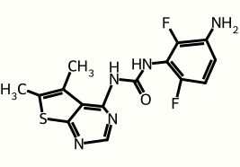 Cc1sc2ncnc(NC(=O)Nc3c(F)ccc(N)c3F)c2c1C